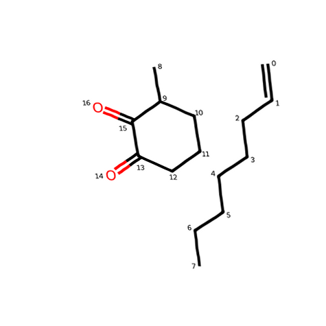 C=CCCCCCC.CC1CCCC(=O)C1=O